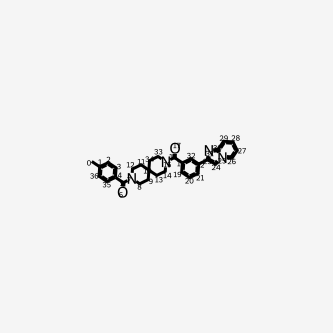 Cc1ccc(C(=O)N2CCC3(CC2)CCN(C(=O)c2cccc(-c4cn5ccccc5n4)c2)CC3)cc1